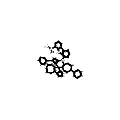 OB(O)c1cccc2c1oc1c(N3C4=C(C=CC(c5ccccc5)C=C4)C4(C5=C(CC=CC=C5)c5ccccc54)c4cc(-c5ccccc5)ccc43)cccc12